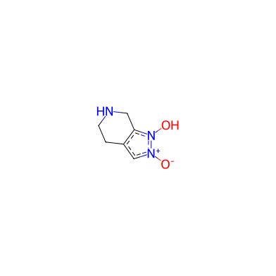 [O-][n+]1cc2c(n1O)CNCC2